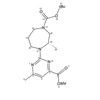 COC(=O)c1cc(C)nc(N2CCCN(C(=O)OC(C)(C)C)C[C@@H]2C)n1